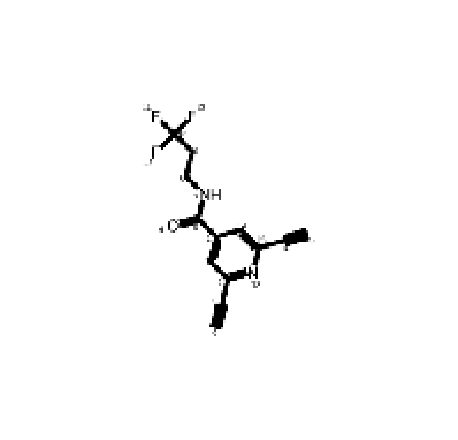 C#Cc1cc(C(=O)NCCC(F)(F)F)cc(C#C)n1